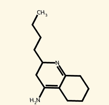 CCCCC1CC(N)=C2CCCCC2=N1